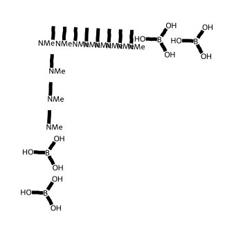 CNC.CNC.CNC.CNC.CNC.CNC.CNC.CNC.CNC.CNC.CNC.OB(O)O.OB(O)O.OB(O)O.OB(O)O